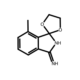 Cc1cccc2c1C1(NC2=N)OCCO1